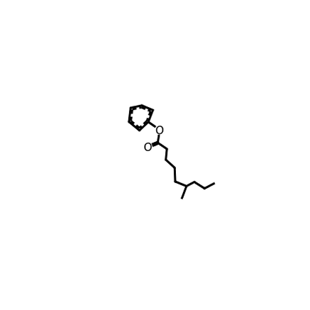 CCCC(C)CCCCC(=O)Oc1ccccc1